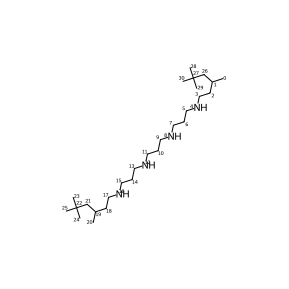 CC(CCNCCCNCCCNCCCNCCC(C)CC(C)(C)C)CC(C)(C)C